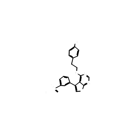 CS(=O)(=O)c1cccc(-c2csc3ncnc(NCCc4ccc(O)cc4)c23)c1